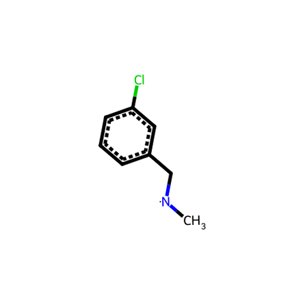 C[N]Cc1cccc(Cl)c1